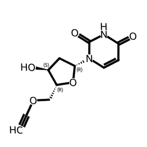 C#COC[C@H]1O[C@@H](n2ccc(=O)[nH]c2=O)C[C@@H]1O